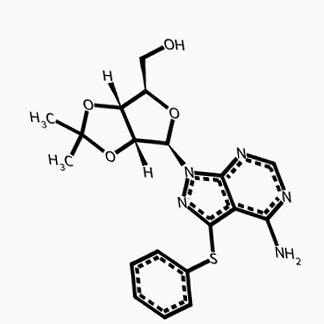 CC1(C)O[C@@H]2[C@H](O1)[C@@H](CO)O[C@H]2n1nc(Sc2ccccc2)c2c(N)ncnc21